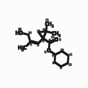 CC(=CC1(C(=O)OC2CCCCC2)CC1(C)C)CO